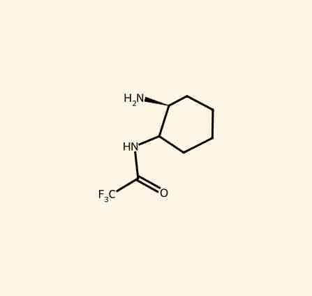 N[C@H]1CCCCC1NC(=O)C(F)(F)F